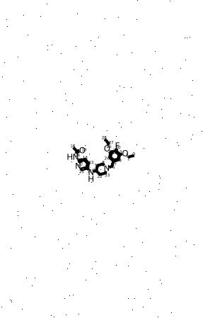 CCOc1cc(CN2CCC(Nc3ccc(NC(C)=O)nc3)CC2)cc(OCC)c1F